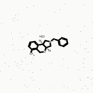 Cl.FC(F)(F)c1cccc2c1CO[C@@H]1CN(Cc3ccccc3)C[C@H]21